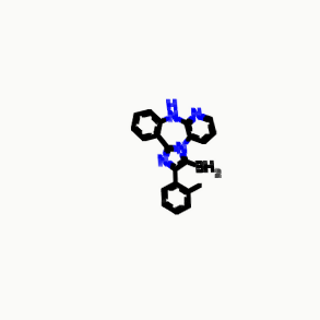 Bc1c(-c2ccccc2C)nc2n1-c1cccnc1Nc1ccccc1-2